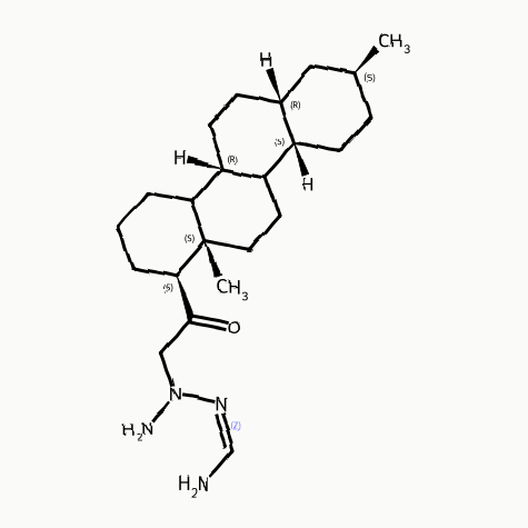 C[C@H]1CC[C@@H]2C3CC[C@@]4(C)C(CCC[C@@H]4C(=O)CN(N)/N=C\N)[C@@H]3CC[C@@H]2C1